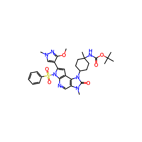 COc1nn(C)cc1-c1cc2c(ncc3c2n(C2CCC(C)(NC(=O)OC(C)(C)C)CC2)c(=O)n3C)n1S(=O)(=O)c1ccccc1